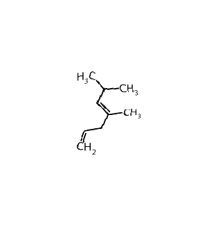 C=CCC(C)=CC(C)C